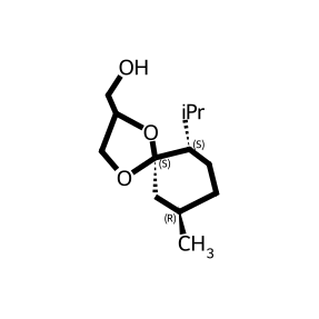 CC(C)[C@@H]1CC[C@@H](C)C[C@@]12OCC(CO)O2